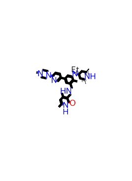 CCN(c1cc(-c2ccc(N3CCN(C)CC3)nc2)cc(CNCc2c(C)cc(C)[nH]c2=O)c1C)C1C[C@@H](C)N[C@H](C)C1